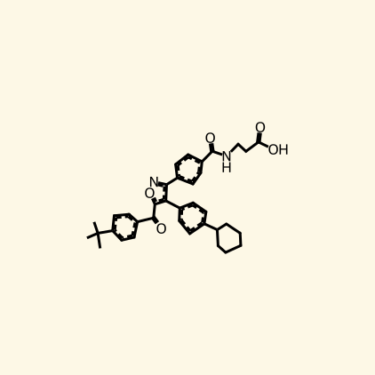 CC(C)(C)c1ccc(C(=O)c2onc(-c3ccc(C(=O)NCCC(=O)O)cc3)c2-c2ccc(C3CCCCC3)cc2)cc1